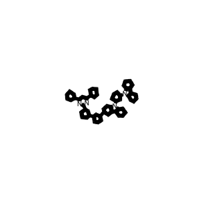 c1ccc(-c2cc(-c3ccccc3)nc(-c3cccc(-c4cccc(-c5ccc6c(c5)c5ccccc5n6-c5cccc(-n6c7ccccc7c7ccccc76)c5)c4)c3)n2)cc1